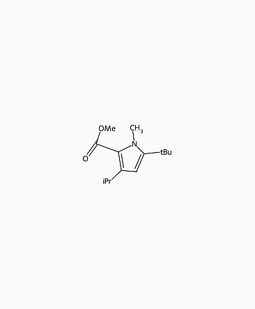 COC(=O)c1c(C(C)C)cc(C(C)(C)C)n1C